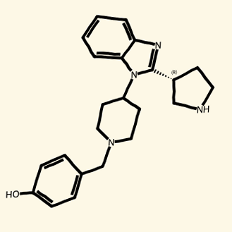 Oc1ccc(CN2CCC(n3c([C@@H]4CCNC4)nc4ccccc43)CC2)cc1